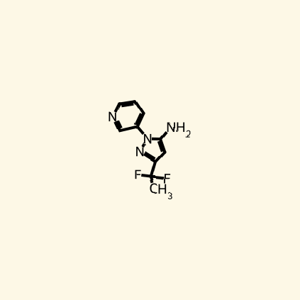 CC(F)(F)c1cc(N)n(-c2cccnc2)n1